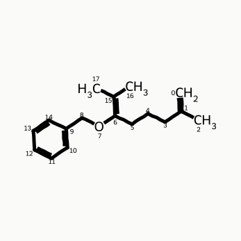 C=C(C)CCCC(OCc1ccccc1)=C(C)C